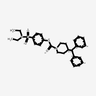 CCN(CC)S(=O)(=O)c1ccc(OC(=O)N2CCC(C(c3ccccc3)c3ccccc3)CC2)cc1